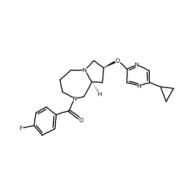 O=C(c1ccc(F)cc1)N1CCCN2C[C@@H](Oc3cnc(C4CC4)cn3)C[C@H]2C1